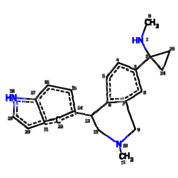 CNC1(c2ccc3c(c2)CN(C)CC3c2ccc3[nH]ccc3c2)CC1